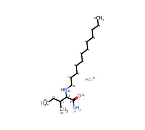 CCCCCCCCCCCCNC(C(N)=O)C(C)CC.Cl